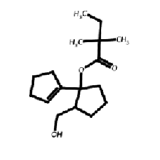 CCC(C)(C)C(=O)OC1(C2=CCCC2)CCCC1CO